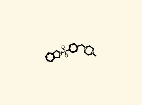 CN1CCN(Cc2ccc(S(=O)(=O)N3Cc4ccccc4C3)cc2)CC1